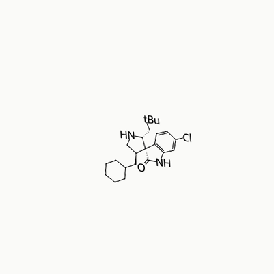 CC(C)(C)C[C@H]1NC[C@H](CC2CCCCC2)[C@@]12C(=O)Nc1cc(Cl)ccc12